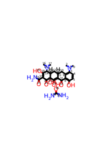 CN(C)c1ccc(O)c2c1C[C@H]1C[C@H]3[C@H](N(C)C)C(O)=C(C(N)=O)C(=O)[C@@]3(O)C(O)=C1C2=O.NC(N)=O